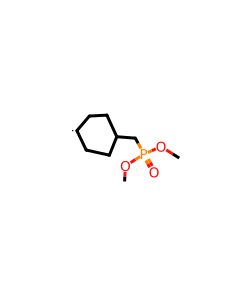 COP(=O)(CC1CC[CH]CC1)OC